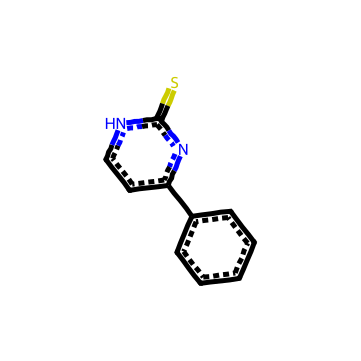 S=c1nc(-c2ccccc2)cc[nH]1